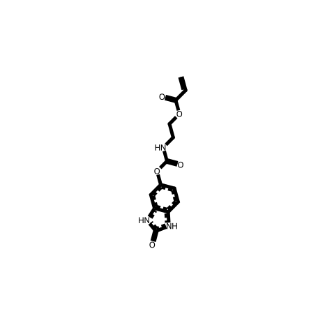 C=CC(=O)OCCNC(=O)Oc1ccc2[nH]c(=O)[nH]c2c1